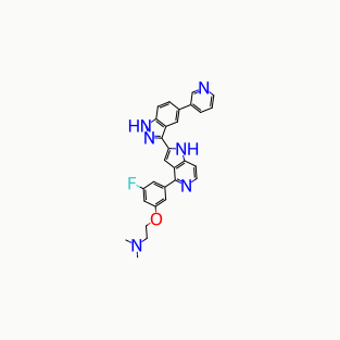 CN(C)CCOc1cc(F)cc(-c2nccc3[nH]c(-c4n[nH]c5ccc(-c6cccnc6)cc45)cc23)c1